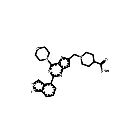 CNC(=O)C1CCN(Cc2cc3nc(-c4cccc5[nH]ncc45)nc(N4CCOCC4)c3s2)CC1